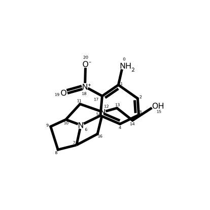 Nc1cccc(N2C3CCC2CN(CCO)C3)c1[N+](=O)[O-]